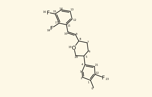 Cc1ccc(C2CCC(/C=C/c3cccc(F)c3F)OC2)cc1F